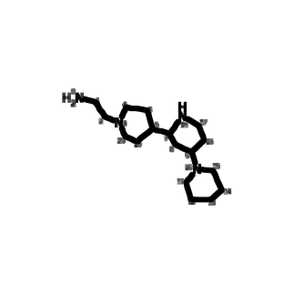 NCCN1CCC(C2CC(N3CCCCC3)CCN2)CC1